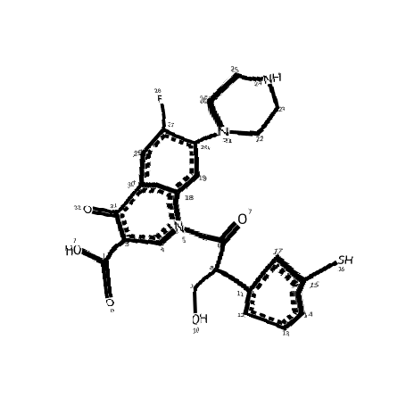 O=C(O)c1cn(C(=O)C(CO)c2cccc(S)c2)c2cc(N3CCNCC3)c(F)cc2c1=O